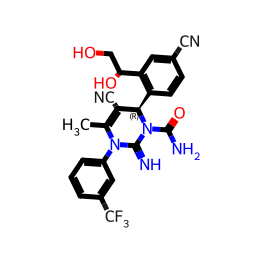 CC1=C(C#N)[C@@H](c2ccc(C#N)cc2C(O)CO)N(C(N)=O)C(=N)N1c1cccc(C(F)(F)F)c1